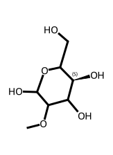 COC1C(O)OC(CO)[C@@H](O)C1O